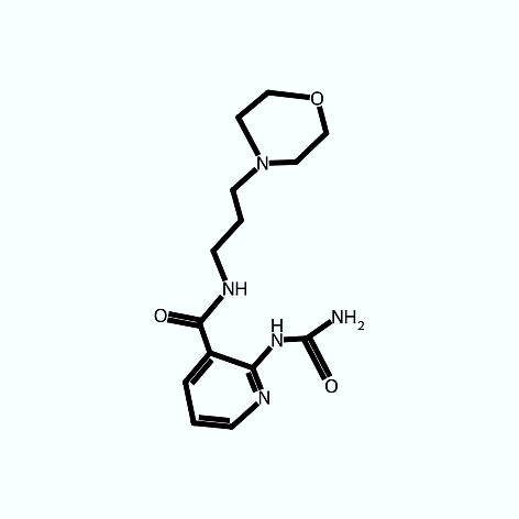 NC(=O)Nc1ncccc1C(=O)NCCCN1CCOCC1